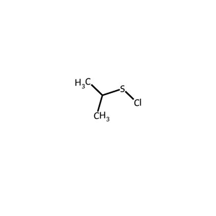 CC(C)SCl